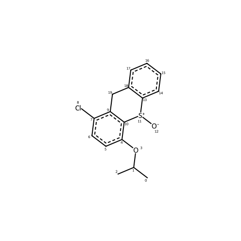 CC(C)Oc1ccc(Cl)c2c1[S+]([O-])c1ccccc1C2